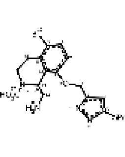 CC(C)n1cc(COc2ccc(Br)c3c2[C@@H](CN)N(C(=O)O)CC3)nn1